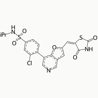 CC(C)NS(=O)(=O)c1ccc(-c2cncc3cc(C=C4SC(=O)NC4=O)oc23)c(Cl)c1